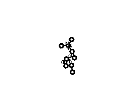 c1ccc(-c2ccc(N(c3cccc4c3oc3cc(-c5nc(-c6ccccc6)nc(-c6ccccc6)n5)ccc34)c3cccc4oc5ccccc5c34)cc2)cc1